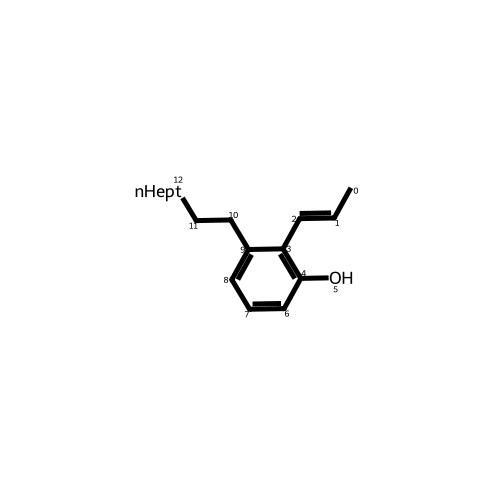 CC=Cc1c(O)cccc1CCCCCCCCC